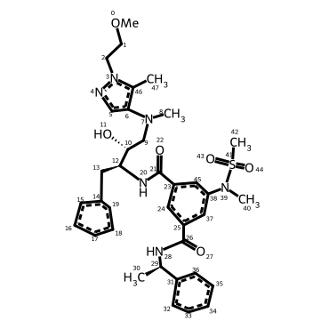 COCCn1ncc(N(C)C[C@@H](O)[C@H](Cc2ccccc2)NC(=O)c2cc(C(=O)N[C@H](C)c3ccccc3)cc(N(C)S(C)(=O)=O)c2)c1C